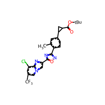 Cc1cc(C2CC2C(=O)OC(C)(C)C)ccc1-c1noc(-c2cn3cc(C(F)(F)F)cc(Cl)c3n2)n1